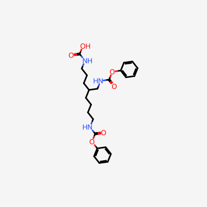 O=C(O)NCCCC(CCCCNC(=O)Oc1ccccc1)CNC(=O)Oc1ccccc1